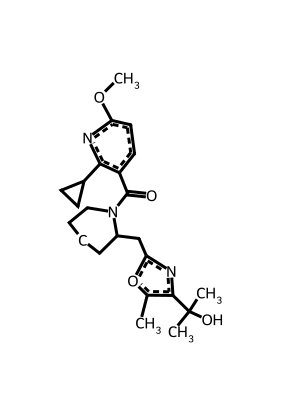 COc1ccc(C(=O)N2CCCCC2Cc2nc(C(C)(C)O)c(C)o2)c(C2CC2)n1